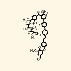 CNC(=O)C(CCC=O)Oc1ccc(CCN2CCN(c3ccc(-c4cnc(N)c(C(=N)c5ccc([C@@H](C)NC(=O)C(=N)NC(=O)C(C)(C)C)c(C)c5)c4)cc3)CC2)cc1